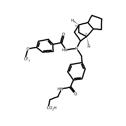 O=C(O)CCNC(=O)c1ccc(CN(NC(=O)c2ccc(OC(F)(F)F)cc2)C2C[C@@H]3C[C@H]2C2CCCC23)cc1